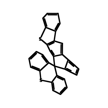 c1ccc2c(c1)Sc1ccccc1C21c2ccccc2-c2cc3c(cc21)sc1ccccc13